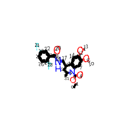 CCOC(=O)N1c2cc(OC)c(OC)cc2C(CNC(=O)c2cc(F)ccc2F)CC1C